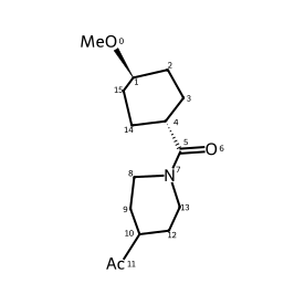 CO[C@H]1CC[C@H](C(=O)N2CCC(C(C)=O)CC2)CC1